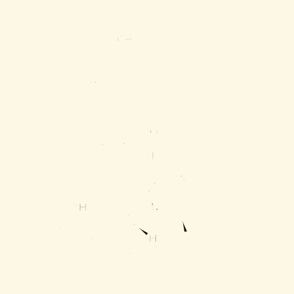 Cc1ccc(S(=O)(=O)[C@]23C[C@@H]4C(=O)CC[C@H]4N4[C@H](C2=O)c2ccccc2[C@@H]43)cc1